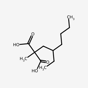 CCCCC(CC)CC(C)(C(=O)O)C(=O)O